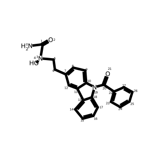 NC(=O)N(O)CCc1ccc2c(c1)c1ccccc1n2C(=O)c1ccccc1